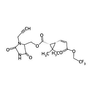 C#CCN1C(=O)NC(=O)C1COC(=O)[C@@H]1[C@H](/C=C\C(=O)OCC(F)(F)F)C1(C)C